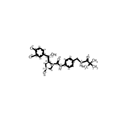 CC(C)(C)C(=O)NCc1ccc(NC(=O)N2C[S+]([O-])C[C@H]2[C@@H](O)c2ccc(Cl)c(Cl)c2)cc1